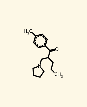 CCCC(CN1CCCC1)C(=O)c1ccc(C)cc1